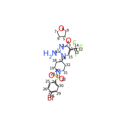 NC1N=C(OC2CCOC2)C(C(F)(F)F)=CN1C1CCN(S(=O)(=O)c2ccc(Br)cc2)CC1